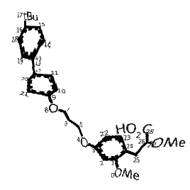 COc1cc(OCCCOc2ccc(-c3ccc(C(C)(C)C)cc3)cc2)ccc1C[C@H](OC)C(=O)O